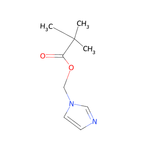 CC(C)(C)C(=O)OCn1ccnc1